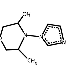 CC1COCC(O)N1n1ccnc1